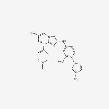 COc1cc(Nc2nc3c(C4=CCN(C(C)=O)CC4)cc(C)cn3n2)ccc1-n1cnc(C)c1